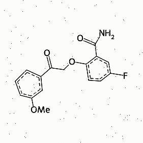 COc1cccc(C(=O)COc2ccc(F)cc2C(N)=O)c1